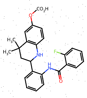 CC1(C)CC(c2ccccc2NC(=O)c2ccccc2F)Nc2ccc(OC(=O)O)cc21